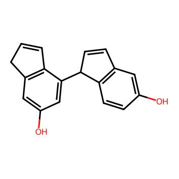 Oc1ccc2c(c1)C=CC2c1cc(O)cc2c1C=CC2